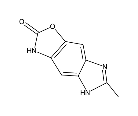 Cc1nc2cc3oc(=O)[nH]c3cc2[nH]1